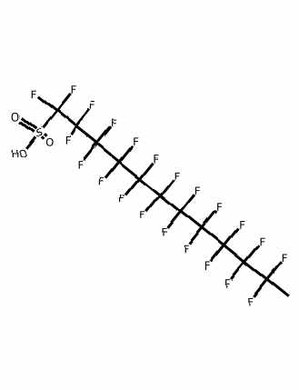 CC(F)(F)C(F)(F)C(F)(F)C(F)(F)C(F)(F)C(F)(F)C(F)(F)C(F)(F)C(F)(F)C(F)(F)C(F)(F)S(=O)(=O)O